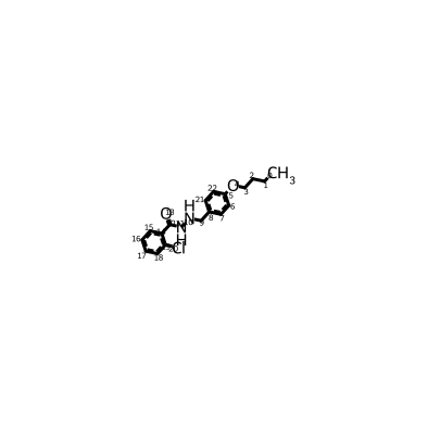 CCCCOc1ccc(CNNC(=O)c2ccccc2Cl)cc1